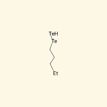 CCCCC[Te][TeH]